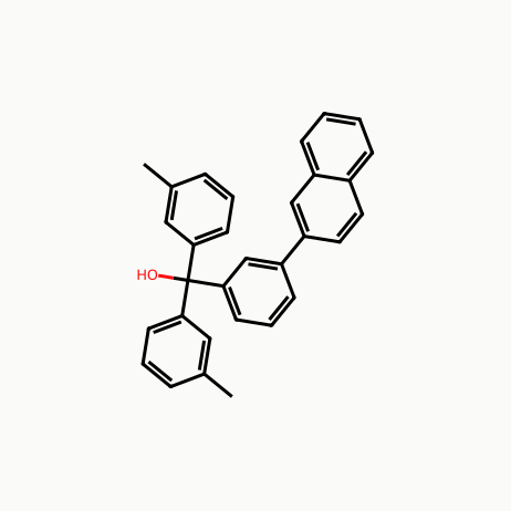 Cc1cccc(C(O)(c2cccc(C)c2)c2cccc(-c3ccc4ccccc4c3)c2)c1